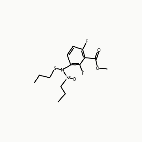 CCCSN(c1ccc(F)c(C(=O)OC)c1F)[S+]([O-])CCC